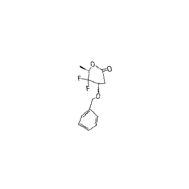 C[C@H]1OC(=O)C[C@@H](OCc2ccccc2)C1(F)F